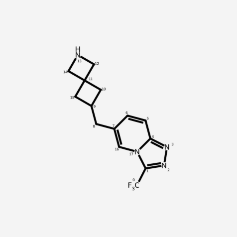 FC(F)(F)c1nnc2ccc(CC3CC4(CNC4)C3)cn12